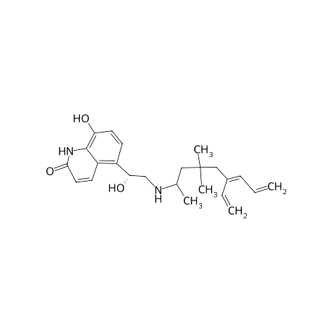 C=C/C=C(\C=C)CC(C)(C)CC(C)NC[C@H](O)c1ccc(O)c2[nH]c(=O)ccc12